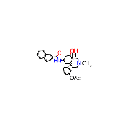 CC(=O)Oc1cccc([C@@]23CCN(C)C[C@H]2C(O)C[C@H](NC(=O)c2ccc4ccccc4c2)C3)c1